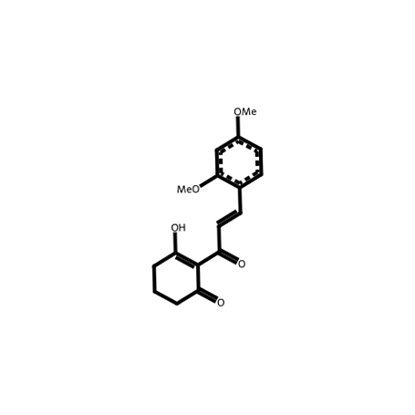 COc1ccc(C=CC(=O)C2=C(O)CCCC2=O)c(OC)c1